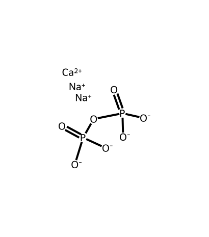 O=P([O-])([O-])OP(=O)([O-])[O-].[Ca+2].[Na+].[Na+]